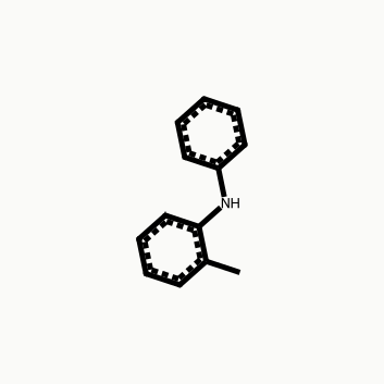 Cc1ccc[c]c1Nc1ccccc1